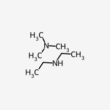 CCNCC.CN(C)C